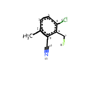 Cc1ccc(Cl)c(CF)c1C#N